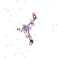 Cn1c(=O)n(CCCC(=O)OCC2CC3CC2C2OC32)c(=O)n(CCCC(=O)OC[C@H]2CC3CC24CC3O4)c1=O